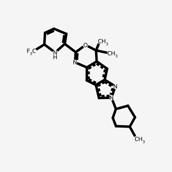 CC1CCC(n2cc3cc4c(cc3n2)C(C)(C)OC(C2=CC=CC(C(F)(F)F)N2)=N4)CC1